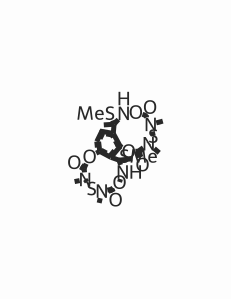 CSC1(C)NOC(=O)N(C)SN(C)C(=O)Oc2c1ccc1c2C(C)(SC)NOC(=O)N(C)SN(C)C(=O)O1